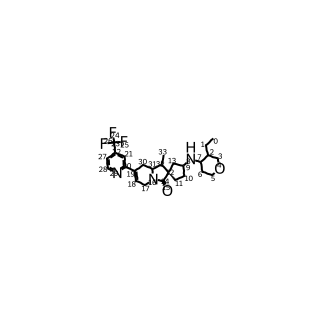 CCC1COCCC1NC1CC[C@@]2(C1)C(=O)N1CC=C(c3cc(C(F)(F)F)ccn3)CC1C2C